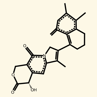 C=c1cc(C)c(C)c2c1=C(C1=C(C)c3cc4c(c(=O)n3C1)COC(=O)[C@H]4O)CCC2